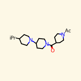 CC(=O)N1CCC(C(=O)N2CCC(N3CCC(C(C)C)CC3)CC2)CC1